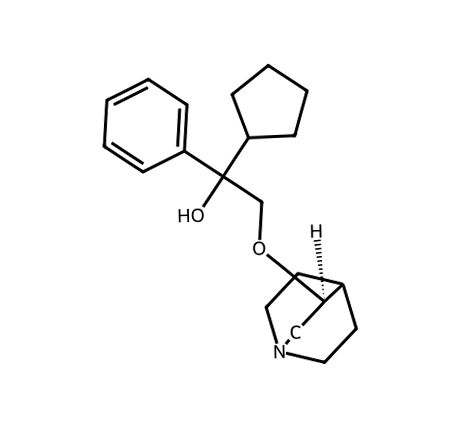 OC(CO[C@@H]1CN2CCC1CC2)(c1ccccc1)C1CCCC1